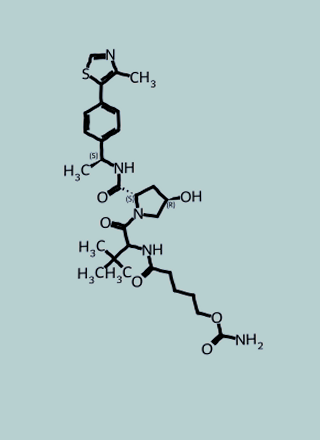 Cc1ncsc1-c1ccc([C@H](C)NC(=O)[C@@H]2C[C@@H](O)CN2C(=O)C(NC(=O)CCCCOC(N)=O)C(C)(C)C)cc1